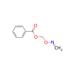 C=NOCOC(=O)c1ccccc1